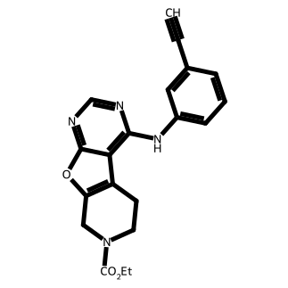 C#Cc1cccc(Nc2ncnc3oc4c(c23)CCN(C(=O)OCC)C4)c1